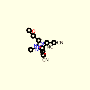 N#Cc1ccc(-c2ccc3c(c2)c2cc(-c4ccc(C#N)cc4C#N)ccc2n3-c2ccc(-c3ccc4c(c3)oc3ccccc34)cc2-c2nc(-c3ccccc3)nc(-c3ccccc3)n2)cc1